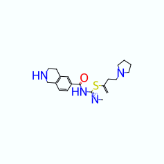 C=C(CCN1CCCC1)S/C(=N\C)NC(=O)c1ccc2c(c1)CCNC2